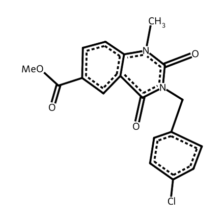 COC(=O)c1ccc2c(c1)c(=O)n(Cc1ccc(Cl)cc1)c(=O)n2C